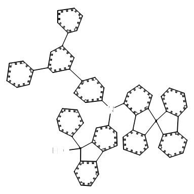 CC1(c2ccccc2)c2ccccc2-c2ccc(N(c3ccc(-c4cc(-c5ccccc5)cc(-c5ccccc5)c4)cc3)c3cccc4c3-c3ccccc3C43c4ccccc4-c4ccccc43)cc21